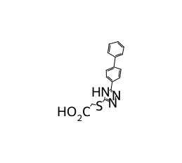 O=C(O)CSc1nnc(-c2ccc(-c3ccccc3)cc2)[nH]1